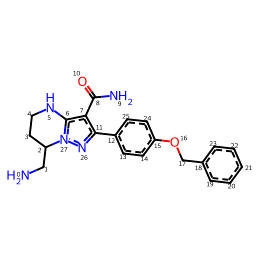 NCC1CCNc2c(C(N)=O)c(-c3ccc(OCc4ccccc4)cc3)nn21